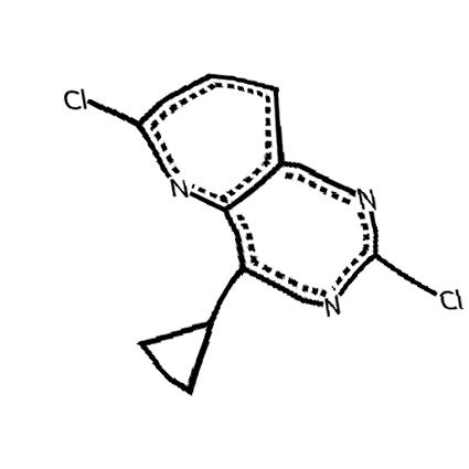 Clc1ccc2nc(Cl)nc(C3CC3)c2n1